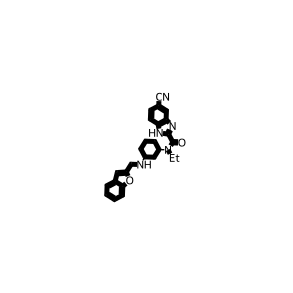 CCN(C(=O)c1nc2cc(C#N)ccc2[nH]1)[C@H]1CCC[C@@H](NCc2cc3ccccc3o2)C1